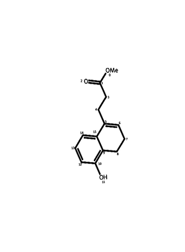 COC(=O)CCC1=CCCc2c(O)cccc21